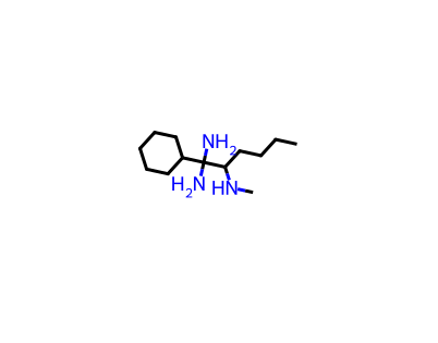 CCCCC(NC)C(N)(N)C1CCCCC1